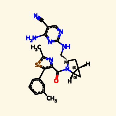 Cc1cccc(-c2sc(C)nc2C(=O)N2[C@H](CNc3ncc(C#N)c(N)n3)C[C@@H]3C[C@@H]32)c1